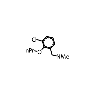 CCCOc1c(Cl)cccc1CNC